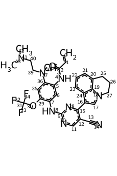 C=CC(=O)Nc1cc(Nc2ncc(C#N)c(-c3cn4c5c(cccc35)CCC4)n2)c(OC(F)(F)F)cc1N(C)CCN(C)C